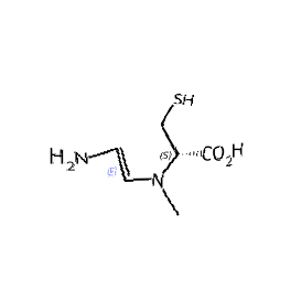 CN(/C=C/N)[C@H](CS)C(=O)O